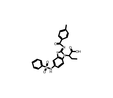 CCC(C(=O)O)n1/c(=N/C(=O)c2ccc(C)cc2)sc2cc(NS(=O)(=O)c3ccccc3)ccc21